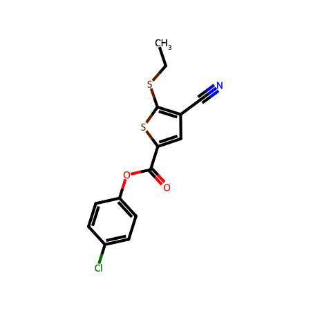 CCSc1sc(C(=O)Oc2ccc(Cl)cc2)cc1C#N